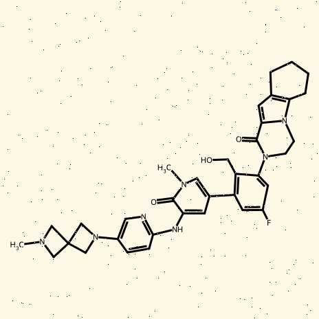 CN1CC2(C1)CN(c1ccc(Nc3cc(-c4cc(F)cc(N5CCn6c(cc7c6CCCC7)C5=O)c4CO)cn(C)c3=O)nc1)C2